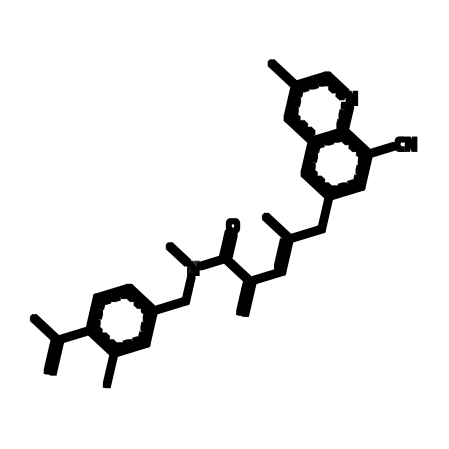 C=C(/C=C(\C)Cc1cc(C#N)c2ncc(C)cc2c1)C(=O)N(C)Cc1ccc(C(=C)C)c(C)c1